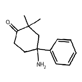 CC1(C)CC(N)(c2ccccc2)CCC1=O